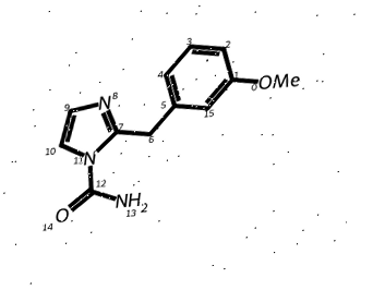 COc1cccc(Cc2nccn2C(N)=O)c1